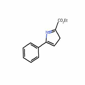 CCOC(=O)C1=NC(c2ccccc2)=CC1